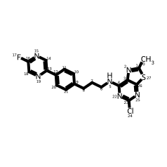 Cc1nc2c(NCCCc3ccc(-c4cnc(F)cn4)cc3)nc(Cl)nc2s1